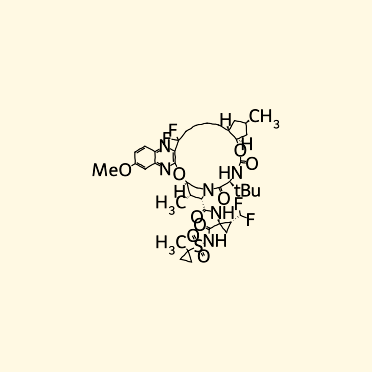 COc1ccc2nc3c(nc2c1)O[C@H]1CN(C(=O)[C@H](C(C)(C)C)NC(=O)O[C@@H]2C[C@H](C)C[C@H]2CCCCC3(F)F)[C@H](C(=O)N[C@]2(C(=O)NS(=O)(=O)C3(C)CC3)C[C@H]2C(F)F)[C@@H]1C